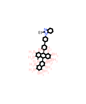 Bc1c(B)c(B)c2c(B)c(-c3c4c(B)c(B)c(B)c(B)c4c(-c4ccc(-c5ccc(-n6c(CC)nc7ccccc76)cc5)cc4)c4c(B)c(B)c(B)c(C)c34)c(B)c(B)c2c1B